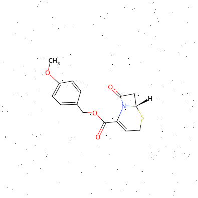 COc1ccc(COC(=O)C2=CCS[C@H]3CC(=O)N23)cc1